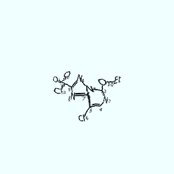 CCOc1ncc(Cl)c2nc(S(=O)(=O)Cl)nn12